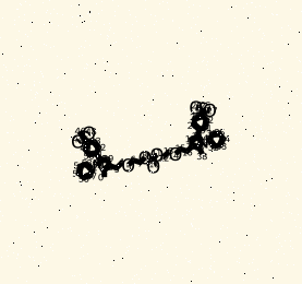 Cc1c(CCOCCO[N+](=O)OCCOCCc2cc(-c3ccc(S(C)(=O)=O)cc3)n(-c3ccccc3)c2C)cc(-c2ccc(S(C)(=O)=O)cc2)n1-c1ccccc1